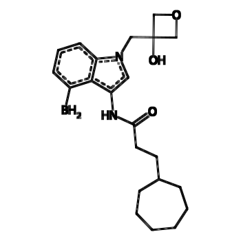 Bc1cccc2c1c(NC(=O)CCC1CCCCCC1)cn2CC1(O)COC1